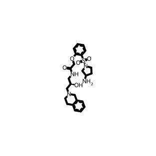 NC1CCN(S(=O)(=O)c2ccccc2OCC(=O)NC[C@@H](O)CN2CCc3ccccc3C2)C1